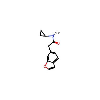 CCCN(C(=O)Cc1ccc2ccoc2c1)C1CC1